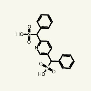 O=S(=O)(O)C(c1ccccc1)c1ccc(C(c2ccccc2)S(=O)(=O)O)nc1